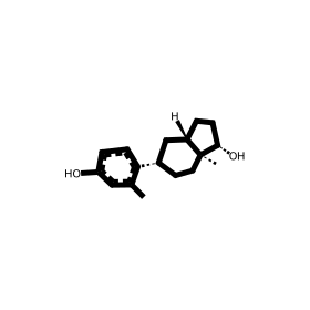 Cc1cc(O)ccc1[C@H]1CC[C@@]2(C)[C@@H](CC[C@@H]2O)C1